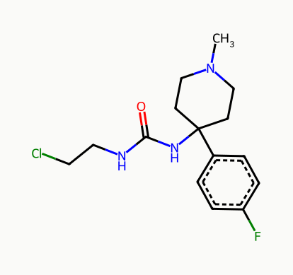 CN1CCC(NC(=O)NCCCl)(c2ccc(F)cc2)CC1